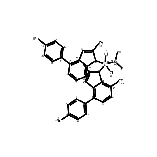 CC1=Cc2c(-c3ccc(C(C)(C)C)cc3)ccc(C(F)(F)F)c2[CH]1[Zr]([Cl])([Cl])([CH]1C(C(C)C)=Cc2c(-c3ccc(C(C)(C)C)cc3)cccc21)[SiH](C)C